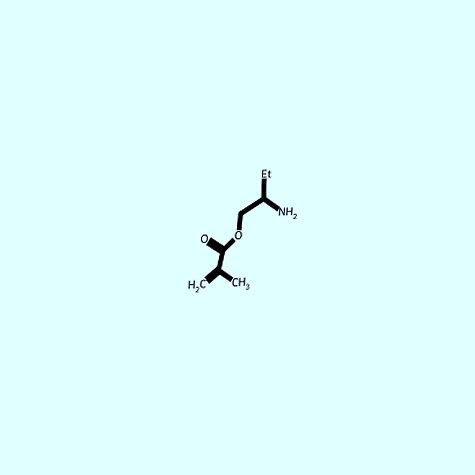 C=C(C)C(=O)OCC(N)CC